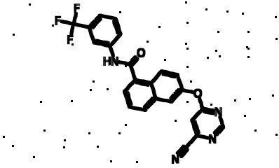 N#Cc1cc(Oc2ccc3c(C(=O)Nc4cccc(C(F)(F)F)c4)cccc3c2)ncn1